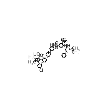 Cc1c(C(=O)O)c(-c2c(F)ccc(N3CCN(c4ccc(NS(=O)(=O)c5ccc(N[C@H](CCN(C)C)CSc6ccccc6)c([N+](=O)[O-])c5)cc4)CC3)c2F)c(-c2ccc(Cl)cc2)n1C